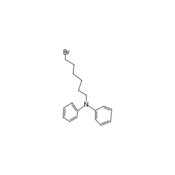 BrCCCCCCN(c1ccccc1)c1ccccc1